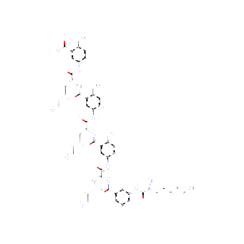 COc1ccc(NC(=O)[C@H](CCCCN)NC(=O)c2cc(NC(=O)[C@H](CCCCN)NC(=O)c3cc(NC(=O)[C@H](CCCCN)NC(=O)c4cccc(NC(=O)[C@@H](N)CCCCCN)c4)ccc3OC)ccc2OC)cc1C(N)=O